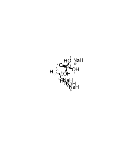 CC.O=P(O)(O)O.[NaH].[NaH].[NaH].[NaH]